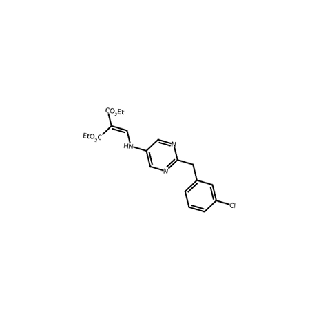 CCOC(=O)C(=CNc1cnc(Cc2cccc(Cl)c2)nc1)C(=O)OCC